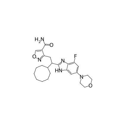 NC(=O)c1conc1CC(c1nc2c(F)cc(N3CCOCC3)cc2[nH]1)C1CCCCCCC1